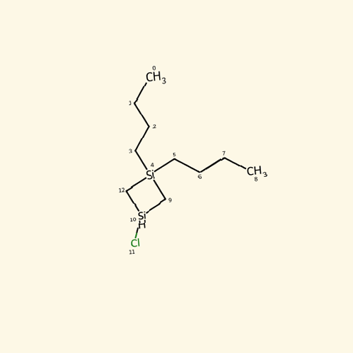 CCCC[Si]1(CCCC)C[SiH](Cl)C1